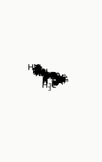 CN(C)Cc1cc(OC2CCN([C@H]3C[C@](CC#N)(n4cc(-c5ncnc6[nH]ccc56)cn4)C3)CC2)cc(C(F)(F)F)c1